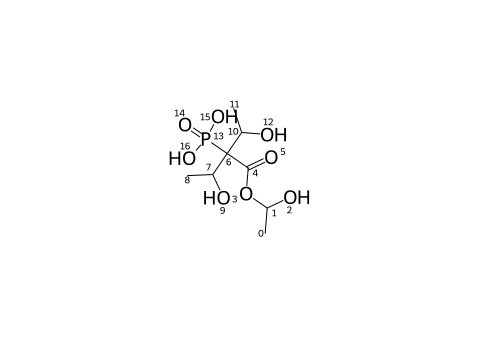 CC(O)OC(=O)C(C(C)O)(C(C)O)P(=O)(O)O